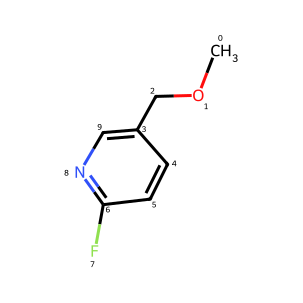 COCc1ccc(F)nc1